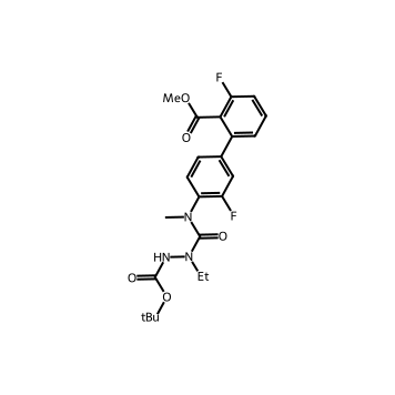 CCN(NC(=O)OC(C)(C)C)C(=O)N(C)c1ccc(-c2cccc(F)c2C(=O)OC)cc1F